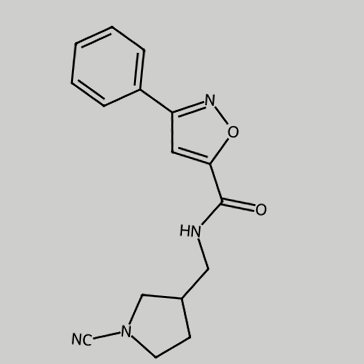 N#CN1CCC(CNC(=O)c2cc(-c3ccccc3)no2)C1